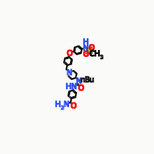 CCCCN(C(=O)Nc1ccc(C(N)=O)cc1)C1CCN(Cc2ccc(Oc3ccc(NS(C)(=O)=O)cc3)cc2)CC1